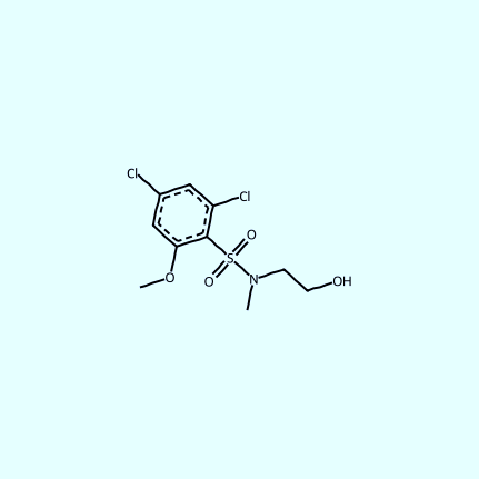 COc1cc(Cl)cc(Cl)c1S(=O)(=O)N(C)CCO